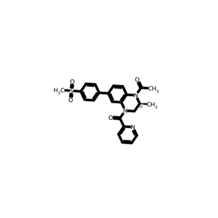 CC(=O)N1c2ccc(-c3ccc(S(C)(=O)=O)cc3)cc2N(C(=O)c2ccccn2)C[C@@H]1C